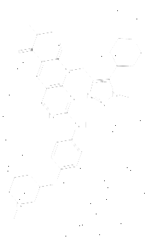 CC(C)C(=O)c1cc2cnc(Nc3ccc(OC4CCCN(C)C4)cc3)nc2n(Cc2nnn(C)c2C2CCOCC2)c1=O